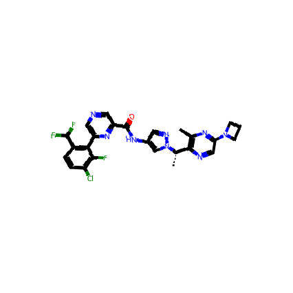 Cc1nc(N2CCC2)cnc1[C@H](C)n1cc(NC(=O)c2cncc(-c3c(C(F)F)ccc(Cl)c3F)n2)cn1